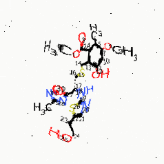 COC(=O)c1c(C)c(OC)cc(O)c1CSC[C@H](Nc1ncc(CCO)s1)c1nc(C)no1